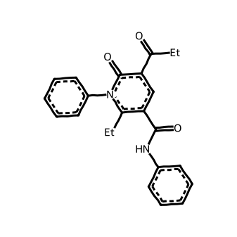 CCC(=O)c1cc(C(=O)Nc2ccccc2)c(CC)n(-c2ccccc2)c1=O